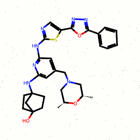 C[C@@H]1CN(Cc2cc(Nc3ncc(-c4nnc(-c5ccccc5)o4)s3)nc(NC34CCC(O)(CC3)C4)c2)C[C@H](C)O1